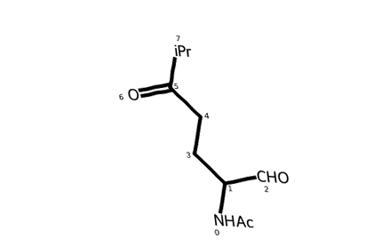 CC(=O)NC(C=O)CCC(=O)C(C)C